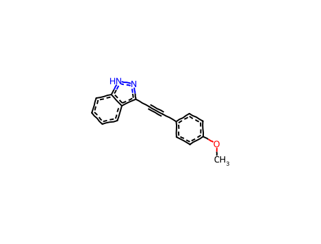 COc1ccc(C#Cc2n[nH]c3ccccc23)cc1